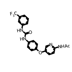 CC(=O)Nc1ccc(Oc2ccc(NC(=O)Nc3cccc(C(F)(F)F)c3)cc2)cn1